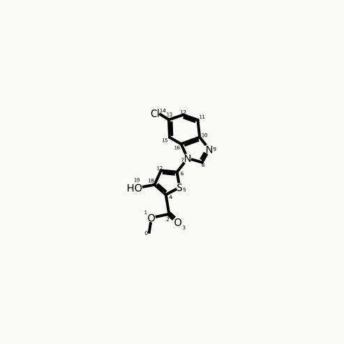 COC(=O)c1sc(-n2cnc3ccc(Cl)cc32)cc1O